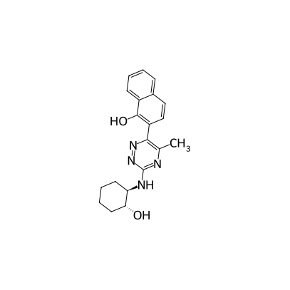 Cc1nc(N[C@@H]2CCCC[C@H]2O)nnc1-c1ccc2ccccc2c1O